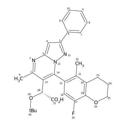 Cc1nc2cc(-c3ccccc3)nn2c(-c2cc(F)c3c(c2C)CCCO3)c1[C@@H](OC(C)(C)C)C(=O)O